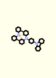 c1ccc2c(c1)-c1cccc3c1B1c4c(cccc4N3c3ccc(-n4c5ccccc5c5ccccc54)cc3)-c3ccccc3N12